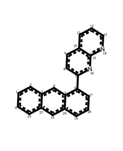 c1ccc2cc3c(-c4ccc5cccnc5n4)cccc3cc2c1